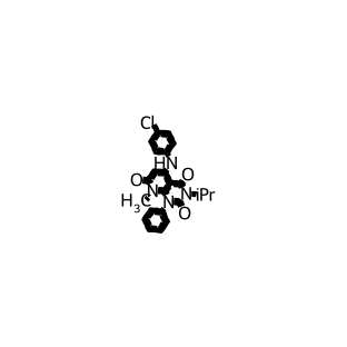 CC(C)n1c(=O)c2c(Nc3ccc(Cl)cc3)cc(=O)n(C)c2n(-c2ccccc2)c1=O